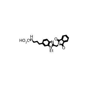 CCn1c(CN2C(=O)c3ccccc3C2=O)nc2ccc(CCCNC(=O)O)cc21